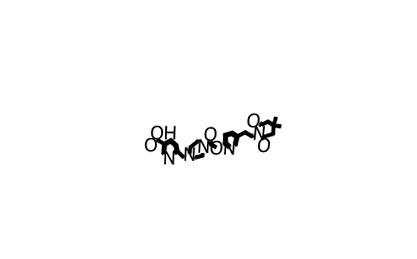 CC1(C)CC(=O)N(CCc2ccc(OC(=O)N3CCN(Cc4ccc(C(=O)O)cn4)CC3)nc2)C(=O)C1